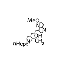 C=C[C@H]1CN(CCCCCCC)CC[C@H]1CC(O)Cc1ccnc2ccc(OC)nc12